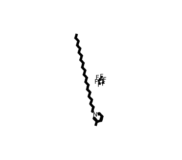 CCCCCCCCCCCCCCCCCCCCCC[n+]1cccc(C)c1.F[P-](F)(F)(F)(F)F